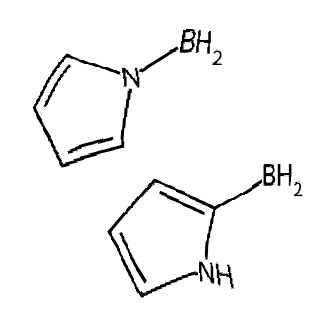 Bc1ccc[nH]1.Bn1cccc1